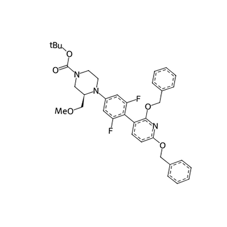 COC[C@H]1CN(C(=O)OC(C)(C)C)CCN1c1cc(F)c(-c2ccc(OCc3ccccc3)nc2OCc2ccccc2)c(F)c1